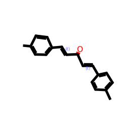 Cc1ccc(/C=C/C(=O)/C=C/c2ccc(C)cc2)cc1